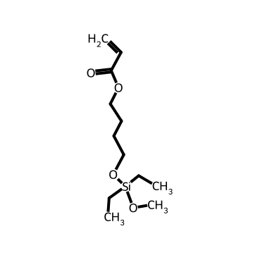 C=CC(=O)OCCCCO[Si](CC)(CC)OC